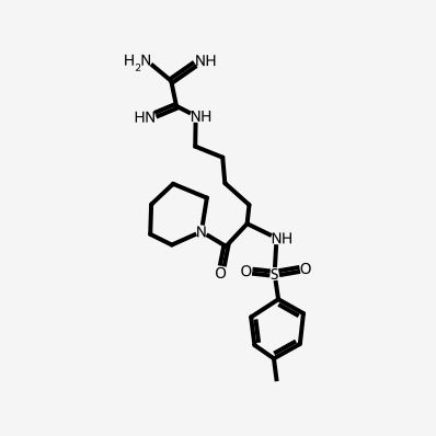 Cc1ccc(S(=O)(=O)NC(CCCCNC(=N)C(=N)N)C(=O)N2CCCCC2)cc1